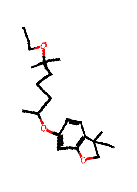 CCOC(C)(C)CCCC(C)Oc1ccc2c(c1)OCC2(C)C